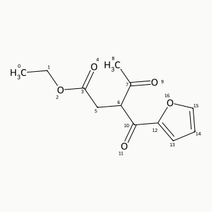 CCOC(=O)CC(C(C)=O)C(=O)c1ccco1